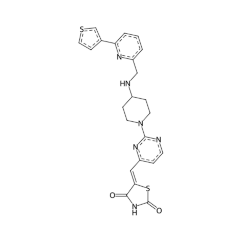 O=C1NC(=O)/C(=C/c2ccnc(N3CCC(NCc4cccc(-c5ccsc5)n4)CC3)n2)S1